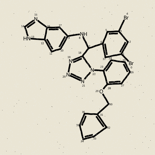 Brc1cc(Br)cc(C(Nc2ccc3[nH]cnc3c2)c2nnnn2-c2ccccc2OCc2ccccc2)c1